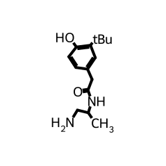 CC(CN)NC(=O)Cc1ccc(O)c(C(C)(C)C)c1